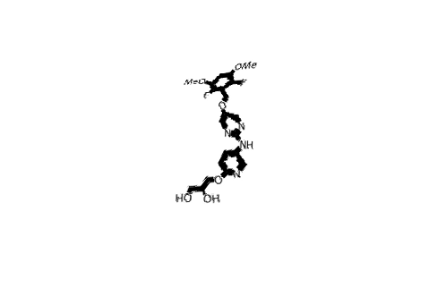 COc1cc(OC)c(F)c(COc2cnc(Nc3ccc(OC[C@@H](O)CO)nc3)nc2)c1F